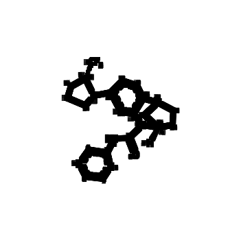 O=C(Nc1cnccn1)N1c2nc(N3CCC[C@@H]3C(F)(F)F)ccc2N2CC[C@H]1C2